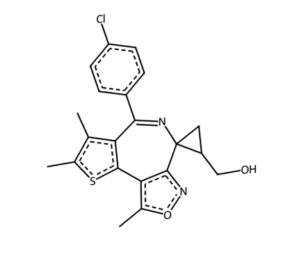 Cc1onc2c1-c1sc(C)c(C)c1C(c1ccc(Cl)cc1)=NC21CC1CO